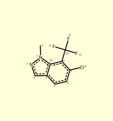 Cn1ncc2ccc(Cl)c(C(F)(F)F)c21